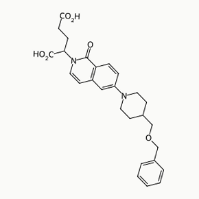 O=C(O)CCC(C(=O)O)n1ccc2cc(N3CCC(COCc4ccccc4)CC3)ccc2c1=O